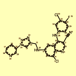 N#Cc1cnc2c(Cl)cc(NCc3cn(-c4cccnc4)nn3)cc2c1Nc1ccc(F)c(Cl)c1